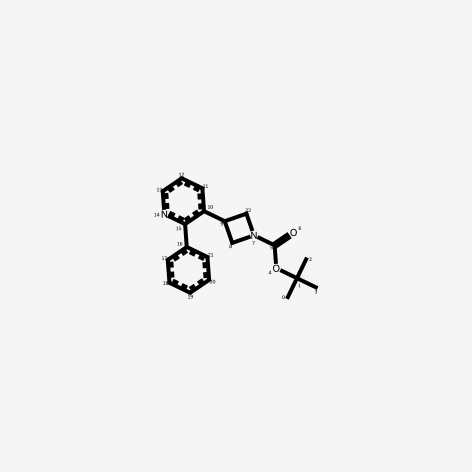 CC(C)(C)OC(=O)N1CC(c2cccnc2-c2ccccc2)C1